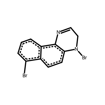 Brc1cccc2c3c(ccc12)N(Br)CC=N3